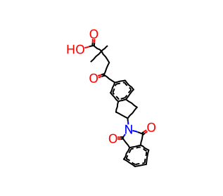 CC(C)(CC(=O)c1ccc2c(c1)CC(N1C(=O)c3ccccc3C1=O)C2)C(=O)O